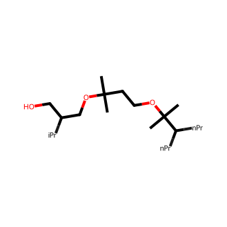 CCCC(CCC)C(C)(C)OCCC(C)(C)OCC(CO)C(C)C